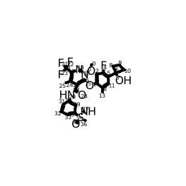 COc1c(F)c(C2(O)CCC2)cc(C)c1Oc1nnc(C(F)(F)F)c(C)c1C(=O)Nc1cccc(S(C)(=N)=O)c1